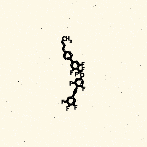 C=CCCc1ccc(C2=CC(F)C(C(F)(F)OC3=CC(F)C(C#CC4=CC(F)C(F)C(F)=C4)C(F)=C3)C(F)=C2)cc1